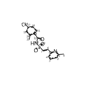 Cc1cccc(/C=C/S(=O)(=O)NC(=O)c2ccc(Cl)cc2C)n1